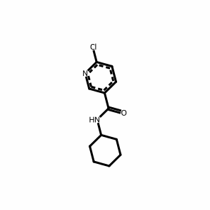 O=C(NC1CCCCC1)c1ccc(Cl)nc1